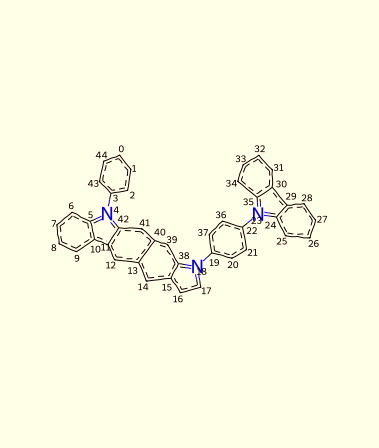 c1ccc(-n2c3ccccc3c3cc4cc5ccn(-c6ccc(-n7c8ccccc8c8ccccc87)cc6)c5cc4cc32)cc1